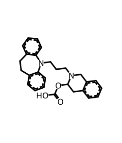 O=C(O)OC1Cc2ccccc2CN1CCCN1c2ccccc2CCc2ccccc21